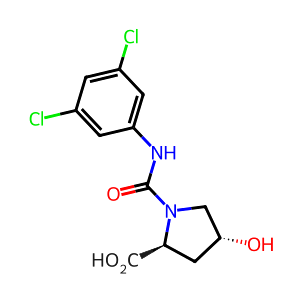 O=C(O)[C@@H]1C[C@@H](O)CN1C(=O)Nc1cc(Cl)cc(Cl)c1